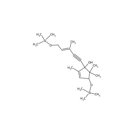 CC(C#CC1(O)C(C)=CC(O[Si](C)(C)C)C1(C)C)=CCO[Si](C)(C)C